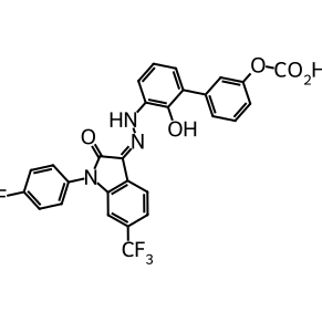 O=C(O)Oc1cccc(-c2cccc(NN=C3C(=O)N(c4ccc(F)cc4)c4cc(C(F)(F)F)ccc43)c2O)c1